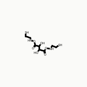 O=C(ONCCS)C(O)C(O)C(=O)ONCCS